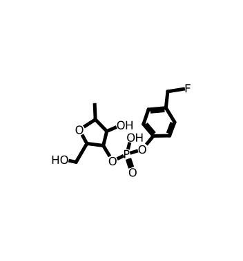 CC1OC(CO)C(OP(=O)(O)Oc2ccc(CF)cc2)C1O